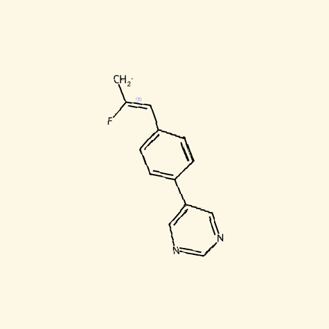 [CH2]/C(F)=C/c1ccc(-c2cncnc2)cc1